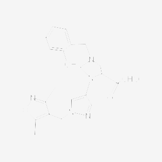 Cc1noc(C)c1Cn1cc(N2CN(Cc3ccccc3O)CC2C(=O)C=O)cn1